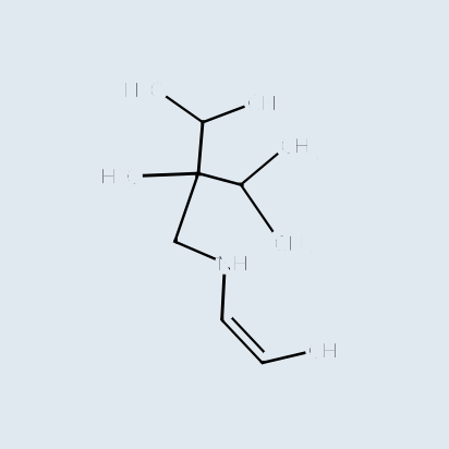 C/C=C\NCC(C)(C(C)C)C(C)C